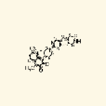 Cn1c(=O)c(=O)n(C2CCN(c3ncc(CN4CCNCC4)cn3)CC2)c2nc(C#N)ccc21